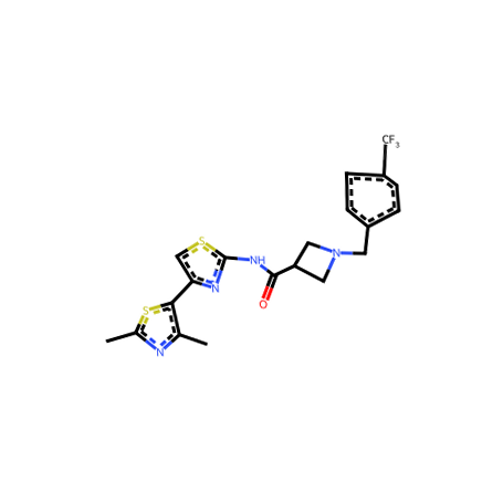 Cc1nc(C)c(-c2csc(NC(=O)C3CN(Cc4ccc(C(F)(F)F)cc4)C3)n2)s1